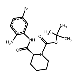 CC(C)(C)OC(=O)N1CCCC[C@H]1C(=O)Nc1cc(Br)ccc1N